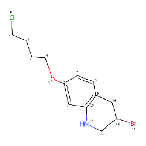 ClCCCCOc1ccc2c(c1)NCC(Br)C2